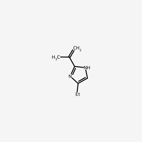 C=C(C)c1nc(CC)c[nH]1